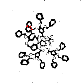 N=C(O[C@H]1O[C@H](COC(=O)c2cc(OCc3ccccc3)c(OCc3ccccc3)c(OCc3ccccc3)c2)[C@@H](OC(=O)c2cc(OCc3ccccc3)c(OCc3ccccc3)c(OCc3ccccc3)c2)[C@H](OC(=O)c2cc(OCc3ccccc3)c(OCc3ccccc3)c(OCc3ccccc3)c2)[C@H]1OC(=O)c1cc(OCc2ccccc2)c(OCc2ccccc2)c(OCc2ccccc2)c1)C(Cl)(Cl)Cl